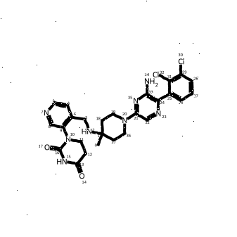 CC1(NCc2ccncc2N2CCC(=O)NC2=O)CCN(c2cnc(-c3cccc(Cl)c3Cl)c(N)n2)CC1